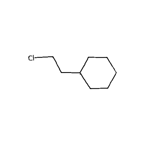 ClCC[C]1CCCCC1